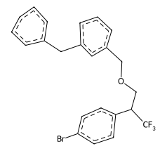 FC(F)(F)C(COCc1cccc(Cc2ccccc2)c1)c1ccc(Br)cc1